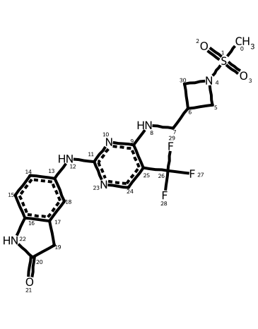 CS(=O)(=O)N1CC(CNc2nc(Nc3ccc4c(c3)CC(=O)N4)ncc2C(F)(F)F)C1